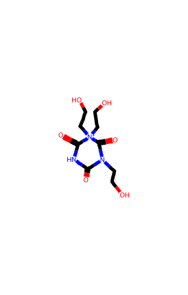 O=C1NC(=O)[N+](CCO)(CCO)C(=O)N1CCO